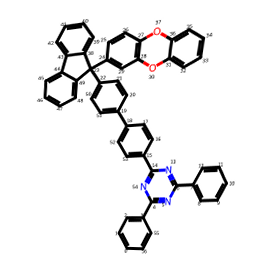 c1ccc(-c2nc(-c3ccccc3)nc(-c3ccc(-c4ccc(C5(c6ccc7c(c6)Oc6ccccc6O7)c6ccccc6-c6ccccc65)cc4)cc3)n2)cc1